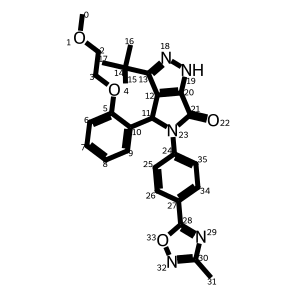 COCCOc1ccccc1C1c2c(C(C)(C)C)n[nH]c2C(=O)N1c1ccc(-c2nc(C)no2)cc1